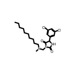 CCCCCCCCCCN(C)CN1C(=O)NC(c2cc(Cl)cc(Cl)c2)C1=O